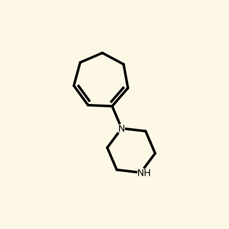 C1=CC(N2CCNCC2)=CCCC1